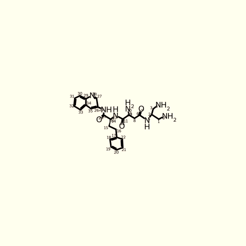 NCC(CN)NC(=O)C[C@H](N)C(=O)N[C@@H](CCc1ccccc1)C(=O)Nc1cnc2ccccc2c1